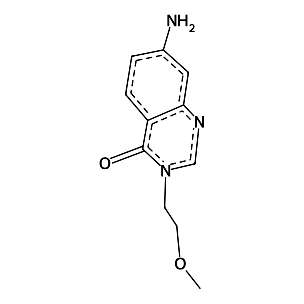 COCCn1cnc2cc(N)ccc2c1=O